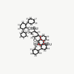 C=C(Sc1ccccc1-c1cccc(-c2ccccc2)c1O)/C(=C\C1=C(C)Oc2c(cc(C(C)(C)C)cc2Sc2ccccc2-c2cccc(-c3ccccc3)c2O)C1)C(C)(C)C